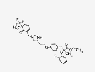 CCOC(=O)C(C)(Cc1ccc(OCCC2CN(CC3=CC=CC(C)(C(F)(F)F)C3=O)CN2)cc1)Oc1ccccc1F